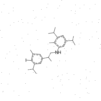 Cc1cc(C(C)CNc2cc(C(C)C)cc(C(C)C)c2C)cc(C(C)C)c1I